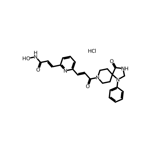 Cl.O=C(C=Cc1cccc(C=CC(=O)N2CCC3(CC2)C(=O)NCN3c2ccccc2)n1)NO